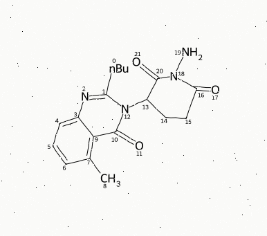 CCCCc1nc2cccc(C)c2c(=O)n1C1CCC(=O)N(N)C1=O